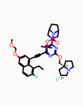 CCc1c(F)ccc2cc(OCOC)cc(C#Cc3nc(OC[C@@]45CCCN4C[C@H](F)C5)nc(N4CC5CCC(C4)N5C(=O)OC(C)(C)C)n3)c12